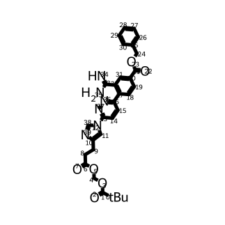 CC(C)(C)C(=O)OCOC(=O)CCc1cn(-c2ccc(-c3ccc(C(=O)OCc4ccccc4)cc3C(=N)N)nn2)cn1